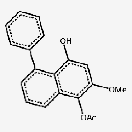 COc1cc(O)c2c(-c3ccccc3)cccc2c1OC(C)=O